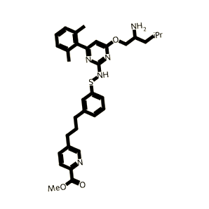 COC(=O)c1ccc(CCCc2cccc(SNc3nc(OCC(N)CC(C)C)cc(-c4c(C)cccc4C)n3)c2)cn1